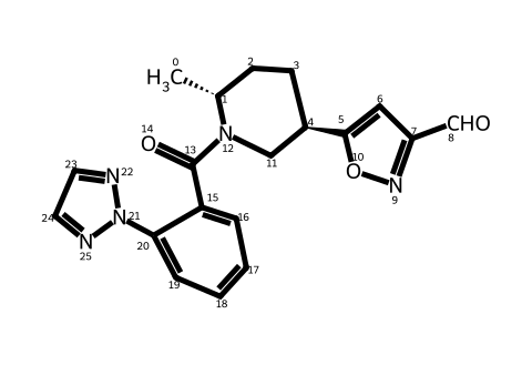 C[C@@H]1CC[C@@H](c2cc(C=O)no2)CN1C(=O)c1ccccc1-n1nccn1